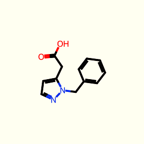 O=C(O)Cc1ccnn1Cc1ccccc1